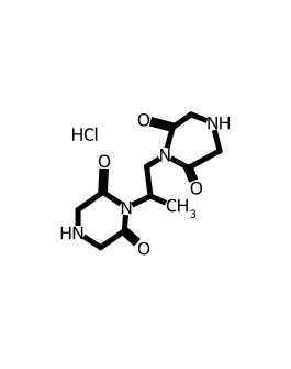 CC(CN1C(=O)CNCC1=O)N1C(=O)CNCC1=O.Cl